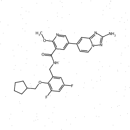 COc1ncc(-c2ccn3nc(N)nc3c2)cc1C(=O)NCc1cc(F)cc(F)c1OCC1CCCC1